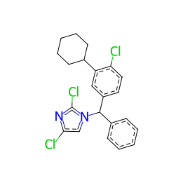 Clc1cn(C(c2ccccc2)c2ccc(Cl)c(C3CCCCC3)c2)c(Cl)n1